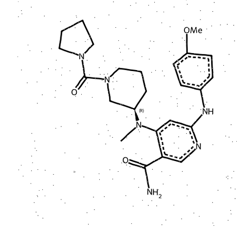 COc1ccc(Nc2cc(N(C)[C@@H]3CCCN(C(=O)N4CCCC4)C3)c(C(N)=O)cn2)cc1